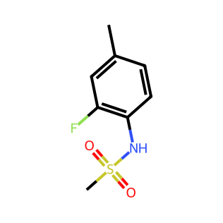 Cc1ccc(NS(C)(=O)=O)c(F)c1